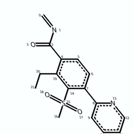 C=NC(=O)c1ccc(-c2ccccn2)c(S(C)(=O)=O)c1CC